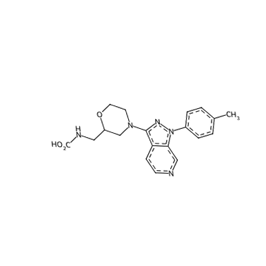 Cc1ccc(-n2nc(N3CCOC(CNC(=O)O)C3)c3ccncc32)cc1